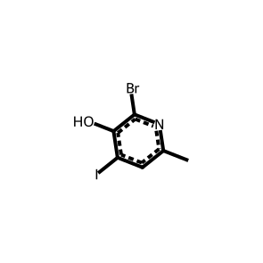 Cc1cc(I)c(O)c(Br)n1